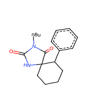 CCCCN1C(=O)NC2(CCCCC2c2ccccc2)C1=O